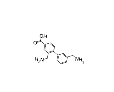 NCc1cccc(-c2ccc(C(=O)O)cc2CN)c1